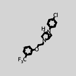 FC(F)(F)c1c[c]cc(OCCN2C[C@@H]3CC2CN3c2ccc(Cl)cc2)c1